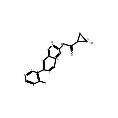 Cc1ccncc1-c1ccc2cc(NC(=O)C3C[C@@H]3F)ncc2c1